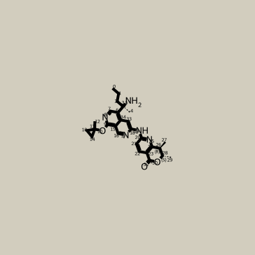 CCC[C@@](C)(N)c1cnc(OC2(C)CC2)c2cnc(Nc3ccc4c(n3)[C@@H](C)[C@H](C)OC4=O)cc12